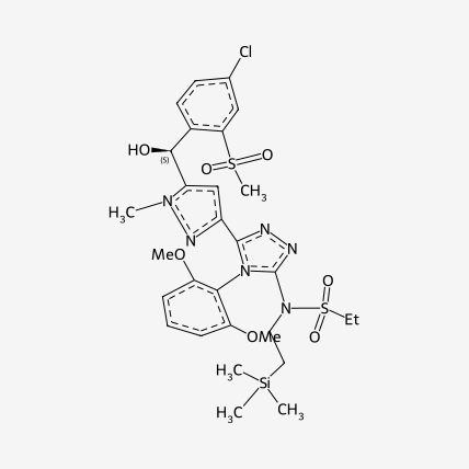 CCS(=O)(=O)N(CC[Si](C)(C)C)c1nnc(-c2cc([C@@H](O)c3ccc(Cl)cc3S(C)(=O)=O)n(C)n2)n1-c1c(OC)cccc1OC